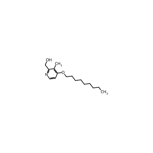 CCCCCCCCCOc1ccnc(CO)c1C